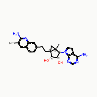 N#Cc1cc2ccc(CC[C@@]34C[C@@H]3[C@@H](n3ccc5c(N)ncnc53)[C@H](O)[C@@H]4O)cc2nc1N